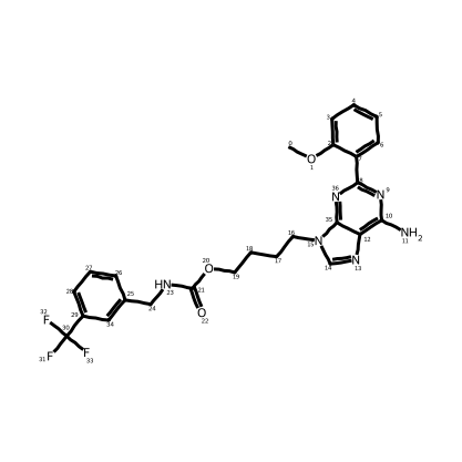 COc1ccccc1-c1nc(N)c2ncn(CCCCOC(=O)NCc3cccc(C(F)(F)F)c3)c2n1